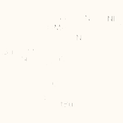 COC1C(O[Si](C)(C)C(C)(C)C)[C@@H](CO[Si](C)(C)C(C)(C)C)O[C@H]1n1cc(C)c(N)nc1=O